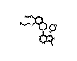 COc1ccc2c(c1OCCF)CN(c1ncnn3c(C)nc([C@@H]4CCOC4)c13)CC2